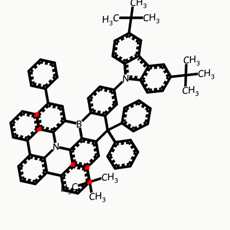 CC(C)(C)c1cc2c3c(c1)C(c1ccccc1)(c1ccccc1)c1cc(-n4c5ccc(C(C)(C)C)cc5c5cc(C(C)(C)C)ccc54)ccc1B3c1cc(-c3ccccc3)ccc1N2c1c(-c2ccccc2)cccc1-c1ccccc1